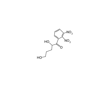 O=C(c1cccc([N+](=O)[O-])c1[N+](=O)[O-])C(O)CCCO